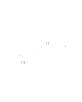 CCc1c(C(N)=O)ccc(C2(c3cccc(O)c3)CCCN(CCC(C)C)C2)c1CC